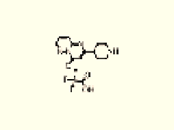 O=C(O)C(F)(F)F.O=c1cc(C2CCNCC2)nc2cccnn12